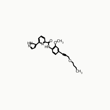 CCCCOCC#Cc1ccc(NC(=O)c2cccc(-c3ccn[nH]3)n2)c(OC)c1